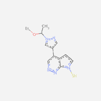 CCOC(C)n1cc(-c2cnnc3c2ccn3S)cn1